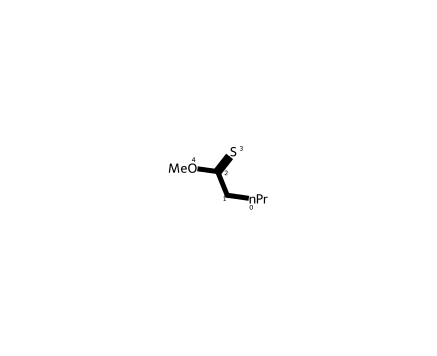 CCCCC(=S)OC